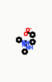 O=C([O-])c1ccccc1.c1ccc(Nc2nn(-c3ccccc3)c[n+]2-c2ccccc2)cc1